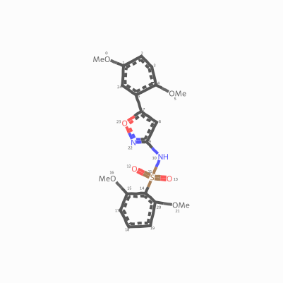 COc1ccc(OC)c(-c2cc(NS(=O)(=O)c3c(OC)cccc3OC)no2)c1